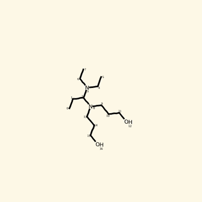 CCC(N(CC)CC)N(CCCO)CCCO